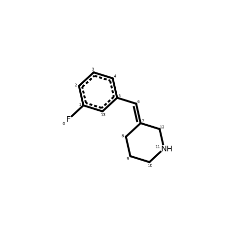 Fc1cccc(/C=C2\CCCNC2)c1